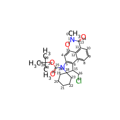 CN1Oc2cc3c(c4cccc(c24)C1=O)C(CCl)C1(CCCCC1)N3C(=O)OC(C)(C)C